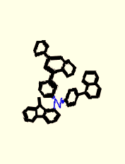 C=C1c2ccccc2-c2cccc(N(c3ccc(-c4cccc5ccccc45)cc3)c3cccc(-c4cc(-c5ccccc5)cc5ccccc45)c3)c21